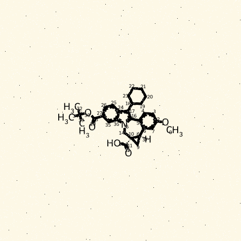 COc1ccc2c(c1)[C@H]1C[C@@]1(C(=O)O)Cn1c-2c(C2CCCCC2)c2ccc(C(=O)OC(C)(C)C)cc21